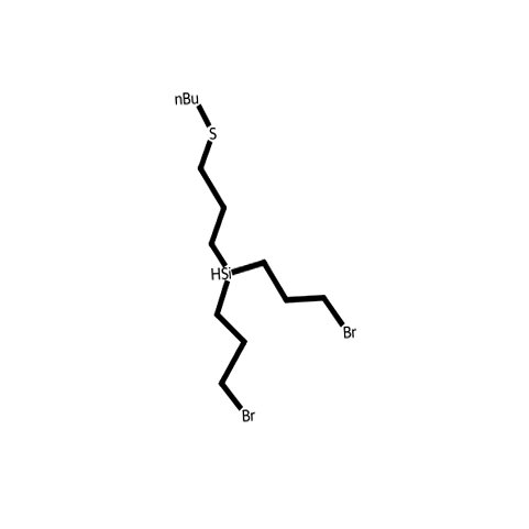 CCCCSCCC[SiH](CCCBr)CCCBr